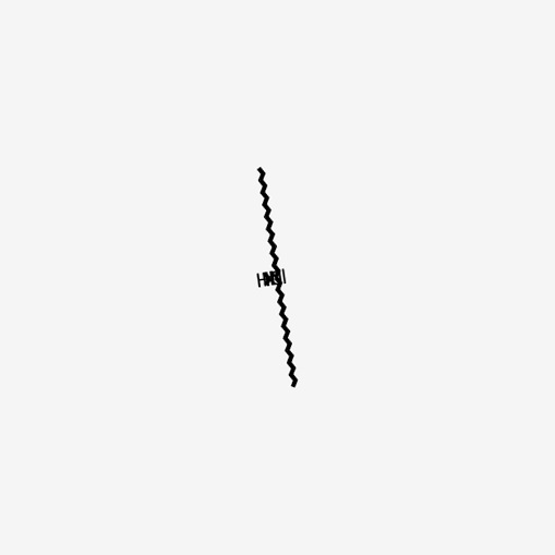 CCCCCCCCCCCCCCCCCCN(CCCCCCCCCCCCCCCCCC)N(C)C.Cl